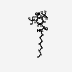 CCCCCCCCNC(=O)c1cc(C(C)(C)C)c(O)c(C(C)(C)C)c1